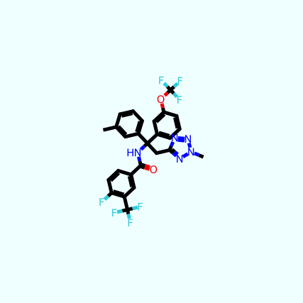 Cc1cccc(C(Cc2nnn(C)n2)(NC(=O)c2ccc(F)c(C(F)(F)F)c2)c2cccc(OC(F)(F)F)c2)c1